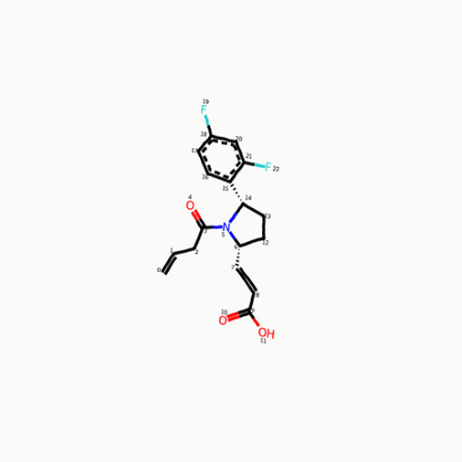 C=CCC(=O)N1[C@@H](/C=C/C(=O)O)CC[C@H]1c1ccc(F)cc1F